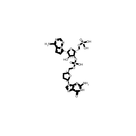 Nc1nc2c(ncn2[C@H]2CC[C@@H](COP(=O)(O)O[C@H]3[C@@H](O)[C@H](c4ccc5c(N)ncnn45)O[C@@H]3COP(=O)(O)O)O2)c(=O)[nH]1